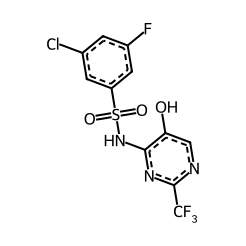 O=S(=O)(Nc1nc(C(F)(F)F)ncc1O)c1cc(F)cc(Cl)c1